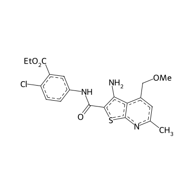 CCOC(=O)c1cc(NC(=O)c2sc3nc(C)cc(COC)c3c2N)ccc1Cl